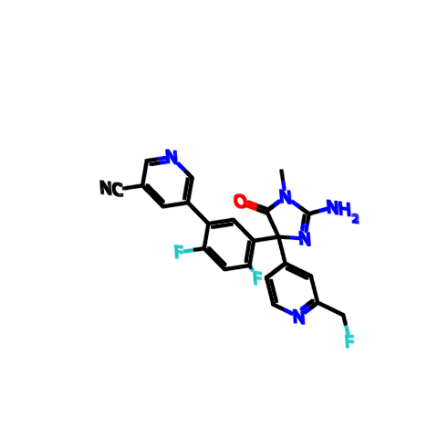 CN1C(=O)C(c2ccnc(CF)c2)(c2cc(-c3cncc(C#N)c3)c(F)cc2F)N=C1N